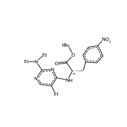 CCc1cnc(N(CC)CC)nc1N[C@@H](Cc1ccc([N+](=O)[O-])cc1)C(=O)OC(C)(C)C